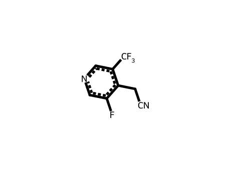 N#CCc1c(F)cncc1C(F)(F)F